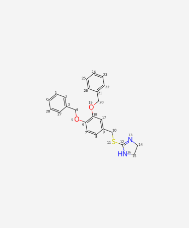 c1ccc(COc2ccc(CSC3=NCCN3)cc2OCc2ccccc2)cc1